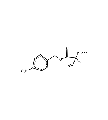 CCCCCC(C)(CCC)C(=O)OCc1ccc([N+](=O)[O-])cc1